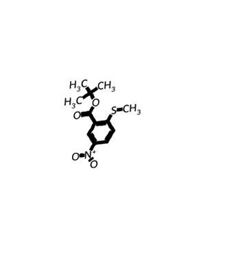 CSc1ccc([N+](=O)[O-])cc1C(=O)OC(C)(C)C